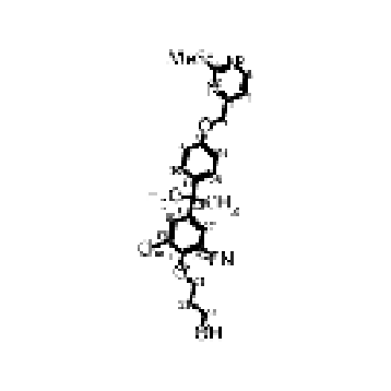 CSc1nccc(COc2ccc(C(C)(C)c3cc(Cl)c(OCCCO)c(C#N)c3)cc2)n1